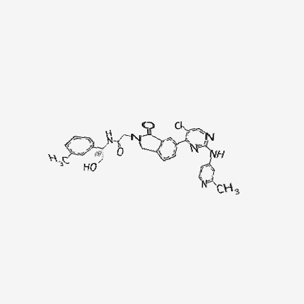 Cc1cccc([C@@H](CO)NC(=O)CN2Cc3ccc(-c4nc(Nc5ccnc(C)c5)ncc4Cl)cc3C2=O)c1